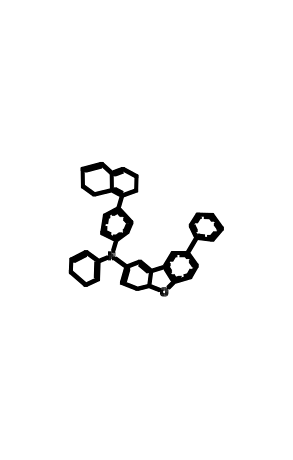 C1=CC(N(C2=CCC3Oc4ccc(-c5ccccc5)cc4C3=C2)c2ccc(C3=C4CCC=CC4=CCC3)cc2)=CCC1